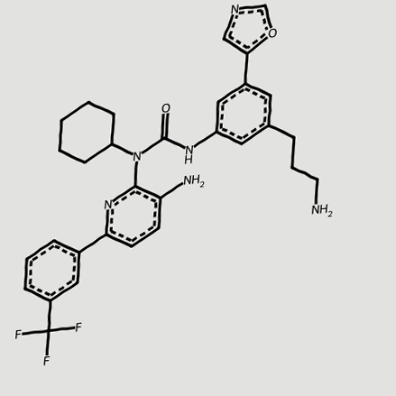 NCCCc1cc(NC(=O)N(c2nc(-c3cccc(C(F)(F)F)c3)ccc2N)C2CCCCC2)cc(-c2cnco2)c1